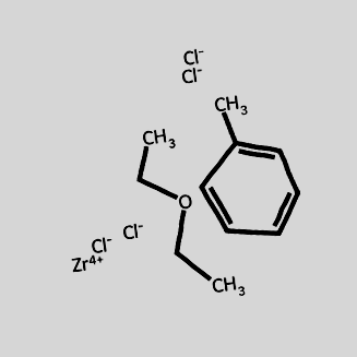 CCOCC.Cc1ccccc1.[Cl-].[Cl-].[Cl-].[Cl-].[Zr+4]